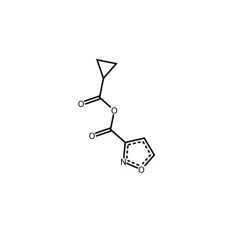 O=C(OC(=O)C1CC1)c1ccon1